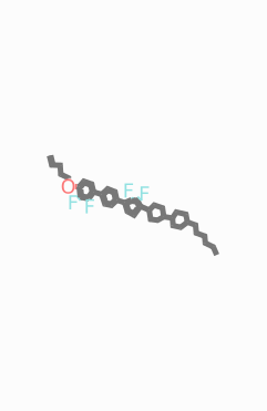 C=CCCCOc1ccc(-c2ccc(-c3ccc(C4CCC(C5CCC(CCCCCC)CC5)CC4)c(F)c3F)cc2)c(F)c1F